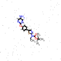 CCN(C(=O)OC(C)(C)C)c1ncc(-c2ccc(Oc3ncc(N)cn3)cc2)s1